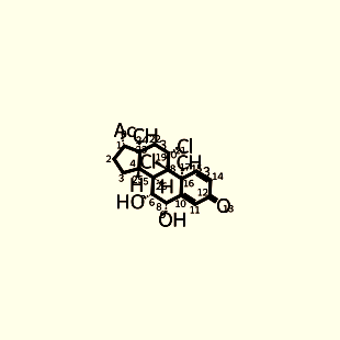 CC(=O)[C@H]1CC[C@H]2[C@@H]3[C@@H](O)[C@@H](O)C4=CC(=O)C=C[C@]4(C)[C@@]3(Cl)[C@@H](Cl)C[C@]12C